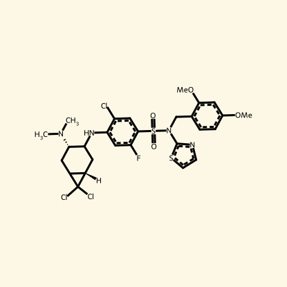 COc1ccc(CN(c2nccs2)S(=O)(=O)c2cc(Cl)c(NC3C[C@H]4C(C[C@@H]3N(C)C)C4(Cl)Cl)cc2F)c(OC)c1